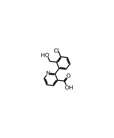 O=C(O)c1cccnc1-c1cccc(Cl)c1CO